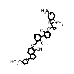 Cc1c(COc2ccc3c(c2C#N)CC[C@H]3N2CC[C@@H](C(=O)O)C2)cccc1-c1cccc(OC2(c3nc4c(n3C)CCN(C)C4)CC2)c1Cl